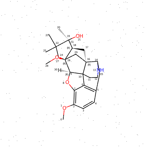 COc1ccc2c3c1O[C@@H]1C34CCNC(C2)[C@@]42C[C@H]([C@](C)(O)C(C)(C)C)[C@]1(OC)C2